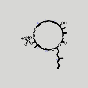 C=C/C=C(\C)CCC1C/C=C\C=C(\C)C(OP(=O)(O)O)CCC\C=C/C=C\C=C/C(O)C(C)C(=C)CC(=O)O1